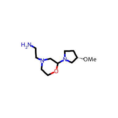 CO[C@H]1CCN(C2CN(CCN)CCO2)C1